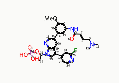 COc1cc(NC(=O)C=CCN(C)C)cc(-c2cnc3c(c2)c(-c2ccnc(F)c2)cn3C(C)OP(=O)(O)O)c1